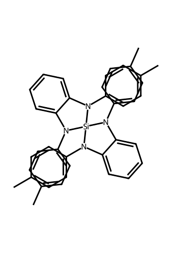 Cc1ccc(N2c3ccccc3N(c3ccc(C)cc3)[Si]23N(c2ccc(C)cc2)c2ccccc2N3c2ccc(C)cc2)cc1